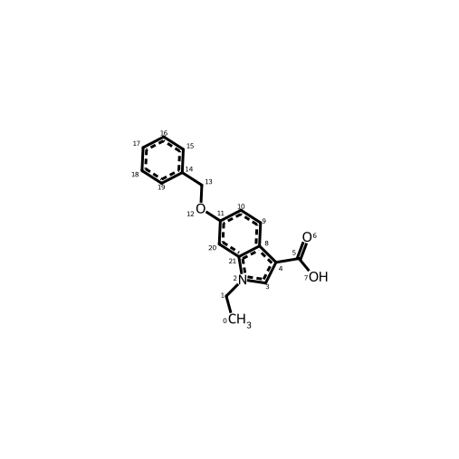 CCn1cc(C(=O)O)c2ccc(OCc3ccccc3)cc21